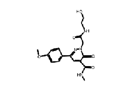 CNC(=O)c1cc(-c2ccc(OC)cc2)nn(CC(=O)NCCO)c1=O